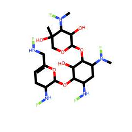 CN(F)C1CC(NF)C(OC2OC(CNF)=CCC2NF)C(O)C1OC1OCC(C)(O)C(N(C)F)C1O